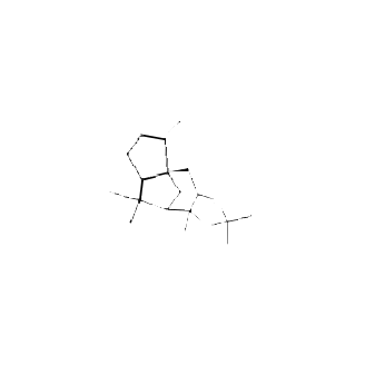 C[C@@H]1CCC2C(C)(C)C3C[C@]21CC1OC(C)(C)OC13C